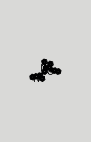 c1ccc(-c2nc3cc(-c4cc5cc6ccccc6nc5c5ccccc45)ccc3c3c4oc5cc6ccccc6cc5c4c4ccccc4c23)cc1